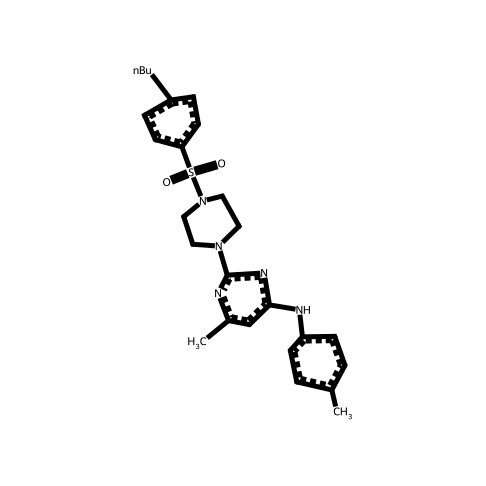 CCCCc1ccc(S(=O)(=O)N2CCN(c3nc(C)cc(Nc4ccc(C)cc4)n3)CC2)cc1